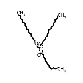 CCCC/C=C\CCCCCCCC(=O)OC[C@@H](COCCCCCCCCCCCCCCCCCC)OC(=O)CCCCCCCCCCCCCCCCC